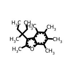 CCC(C)(CC)c1c(C)oc2c(C)c(C)c(C)c(C)c12